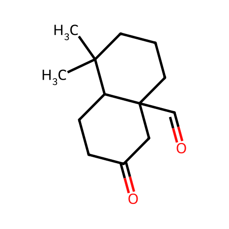 CC1(C)CCCC2(C=O)CC(=O)CCC12